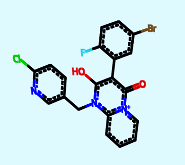 O=c1c(-c2cc(Br)ccc2F)c(O)n(Cc2ccc(Cl)nc2)c2cccc[n+]12